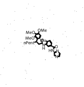 CCCCCC(CC(=O)Nc1cc(C(=O)Nc2cnccn2)ccc1C(C)(C)C)c1ccc(OC)c(OC)c1OC